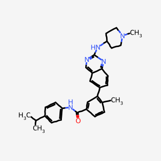 Cc1ccc(C(=O)Nc2ccc(C(C)C)cc2)cc1-c1ccc2nc(NC3CCN(C)CC3)ncc2c1